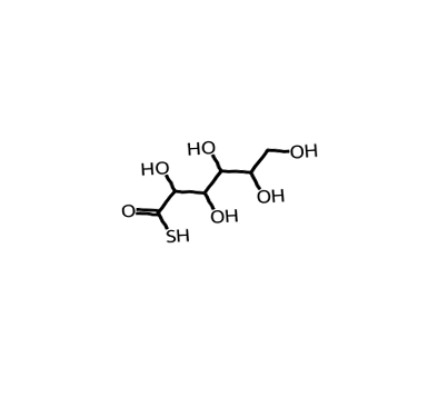 O=C(S)C(O)C(O)C(O)C(O)CO